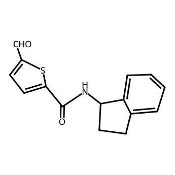 O=Cc1ccc(C(=O)NC2CCc3ccccc32)s1